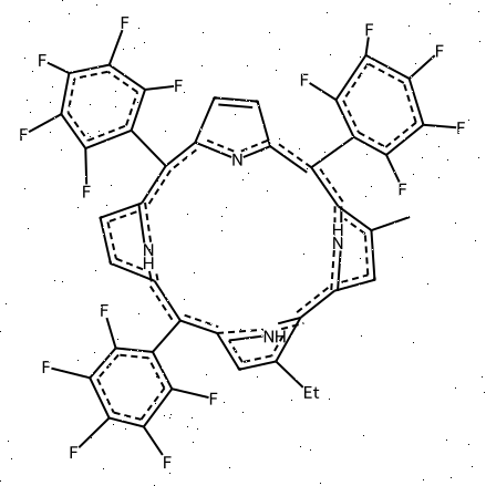 CCc1cc2[nH]c1c1cc(C)c([nH]1)c(-c1c(F)c(F)c(F)c(F)c1F)c1nc(c(-c3c(F)c(F)c(F)c(F)c3F)c3ccc([nH]3)c2-c2c(F)c(F)c(F)c(F)c2F)C=C1